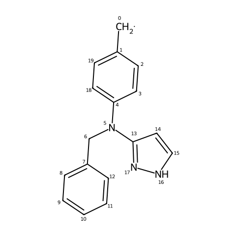 [CH2]c1ccc(N(Cc2ccccc2)c2cc[nH]n2)cc1